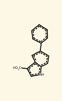 O=C(O)c1c[nH]c2ccc(-c3ccccc3)cc12